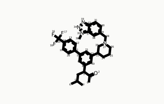 CC(=O)C(CC(C)C)c1cc(-c2ccc(C(F)(F)F)cc2)cc(C2CCCN(Cc3ccc4nnn(C)c4c3)C2)c1